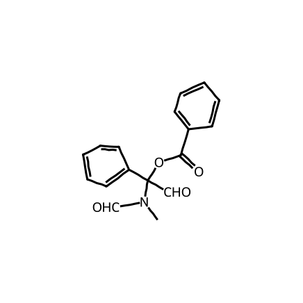 CN(C=O)C(C=O)(OC(=O)c1ccccc1)c1ccccc1